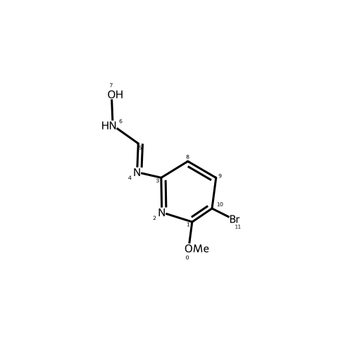 COc1nc(/N=C/NO)ccc1Br